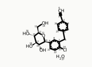 C#Cc1ccc(Cc2cc([C@@H]3O[C@H](CO)[C@@H](O)[C@H](O)[C@H]3O)ccc2Cl)cc1.O